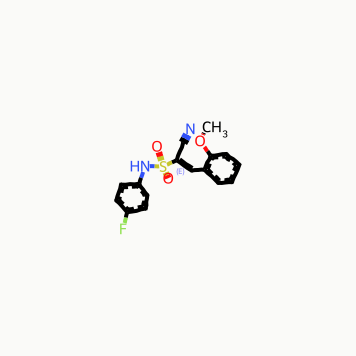 COc1ccccc1/C=C(\C#N)S(=O)(=O)Nc1ccc(F)cc1